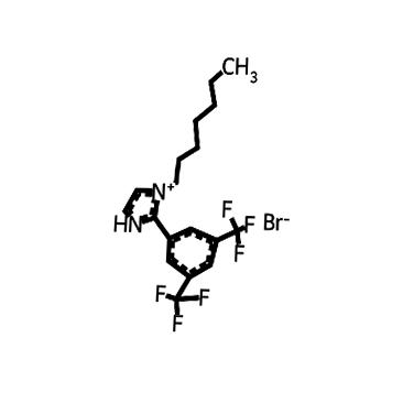 CCCCCCC[n+]1cc[nH]c1-c1cc(C(F)(F)F)cc(C(F)(F)F)c1.[Br-]